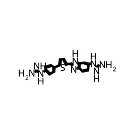 N=C(N)Nc1ccc(-c2ccc(-c3nc4ccc(NC(=N)N)cc4[nH]3)s2)cc1